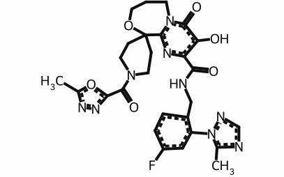 Cc1nnc(C(=O)N2CCC3(CC2)OCCCn2c3nc(C(=O)NCc3ccc(F)cc3-n3ncnc3C)c(O)c2=O)o1